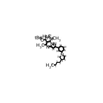 C=CCCC1C=CN(c2cccc(-c3cc4nc(C)c([C@H](OC(C)(C)C)C(C)=O)c(N(C)C)n4n3)c2)C1